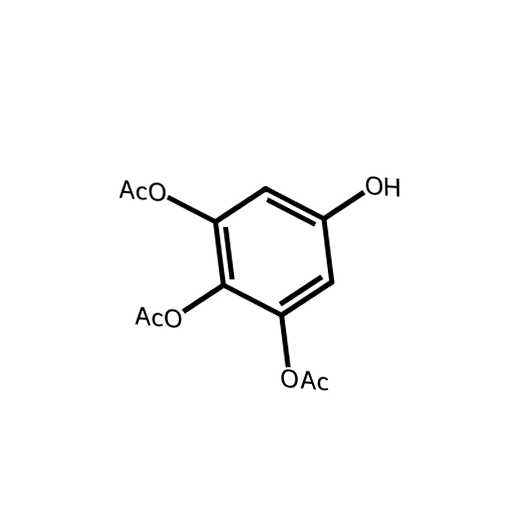 CC(=O)Oc1cc(O)cc(OC(C)=O)c1OC(C)=O